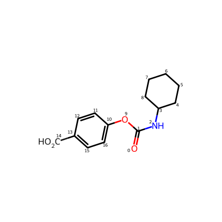 O=C(NC1CCCCC1)Oc1ccc(C(=O)O)cc1